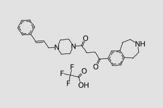 O=C(CCC(=O)N1CCN(CC=Cc2ccccc2)CC1)c1ccc2c(c1)CCNCC2.O=C(O)C(F)(F)F